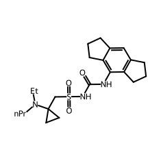 CCCN(CC)C1(CS(=O)(=O)NC(=O)Nc2c3c(cc4c2CCC4)CCC3)CC1